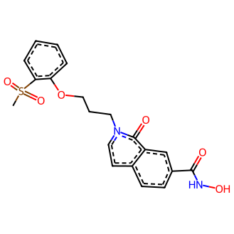 CS(=O)(=O)c1ccccc1OCCCn1ccc2ccc(C(=O)NO)cc2c1=O